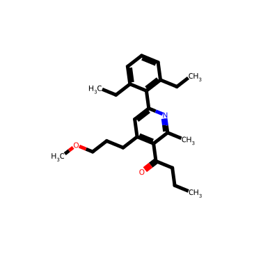 CCCC(=O)c1c(CCCOC)cc(-c2c(CC)cccc2CC)nc1C